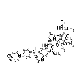 CN[C@@H](C)C(=O)N[C@H](C(=O)N1CCC[C@H]1C(=O)Nc1cc2c(Nc3ccc(N4CCS(=O)(=O)CC4)cc3)ncnc2cc1OC)C(C)(C)C